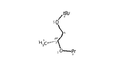 CC(C)O[C@H](C)COC(C)(C)C